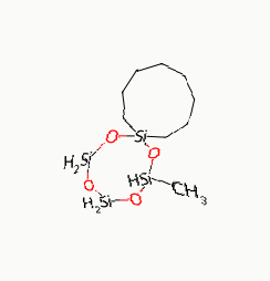 C[SiH]1O[SiH2]O[SiH2]O[Si]2(CCCCCCCC2)O1